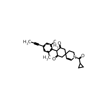 CC#Cc1cc(C)c(C2C(=O)CC3(C=CN(C(=O)C4CC4)CC3)CC2=O)c(C)c1